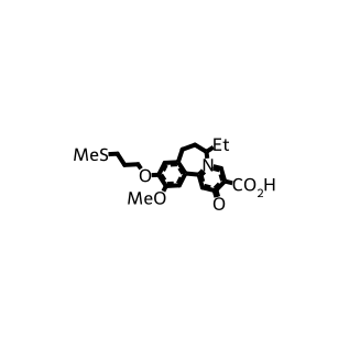 CCC1CCc2cc(OCCCSC)c(OC)cc2-c2cc(=O)c(C(=O)O)cn21